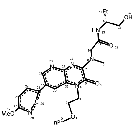 CCCOCCn1c(=O)c(N(C)CC(=O)N[C@H](CC)CO)nc2ncc(-c3ccc(OC)nc3)cc21